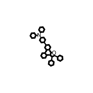 c1ccc(-c2oc3c4ccc(-c5ccc(N(c6ccccc6)c6ccccc6)cc5)cc4c4ccccc4c3c2-c2ccccc2)cc1